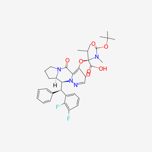 CC(C)[C@@](Oc1c2n(ncc1=O)[C@@H]([C@H](c1ccccc1)c1cccc(F)c1F)[C@H]1CCCN1C2=O)(C(=O)O)N(C)C(=O)OC(C)(C)C